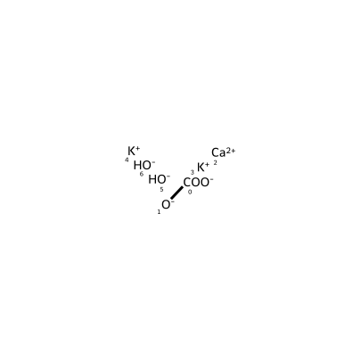 O=C([O-])[O-].[Ca+2].[K+].[K+].[OH-].[OH-]